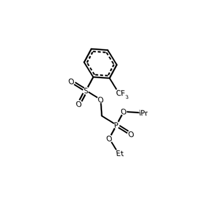 CCOP(=O)(COS(=O)(=O)c1ccccc1C(F)(F)F)OC(C)C